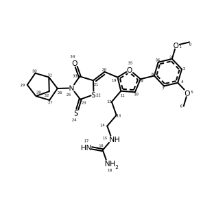 COc1cc(OC)cc(-c2cc(CCCNC(=N)N)c(/C=C3\SC(=S)N(C4CC5CCC4C5)C3=O)o2)c1